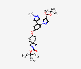 Cn1cc(-c2cc(OC3CCC4(CC3)CN(C(=O)OC(C)(C)C)C4)ccc2-n2cc(C(=O)OC(C)(C)C)cn2)cn1